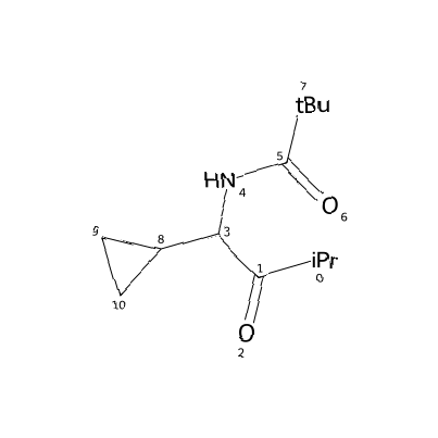 CC(C)C(=O)C(NC(=O)C(C)(C)C)C1CC1